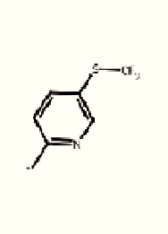 [CH2]c1ccc(SC(F)(F)F)cn1